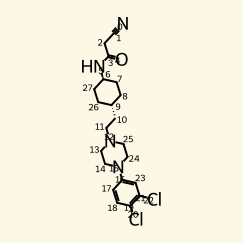 N#CCC(=O)N[C@H]1CC[C@H](CCN2CCN(c3ccc(Cl)c(Cl)c3)CC2)CC1